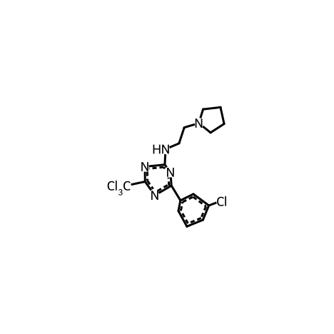 Clc1cccc(-c2nc(NCCN3CCCC3)nc(C(Cl)(Cl)Cl)n2)c1